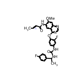 C/C=C/C(=O)Nc1cc2c(Oc3ccc(NC(=O)NC(C)c4ccc(F)cc4)cc3F)ncnc2cc1OC